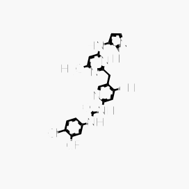 Cc1cc(Nc2ccn[nH]2)nc(Cc2cnc(NC(=O)Nc3ccc(Cl)c(C(F)(F)F)c3)cc2C)n1